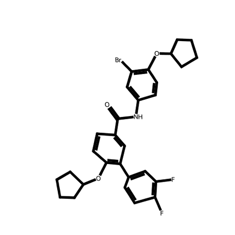 O=C(Nc1ccc(OC2CCCC2)c(Br)c1)c1ccc(OC2CCCC2)c(-c2ccc(F)c(F)c2)c1